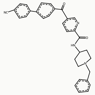 N#Cc1ccc(-c2ccc(C(=O)c3ccc(C(=O)NC4CCN(Cc5ccccc5)CC4)nc3)cc2)cc1